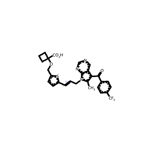 Cc1c(C(=O)c2ccc(C(F)(F)F)cc2)c2cncnc2n1C/C=C/c1ccc(COC2(C(=O)O)CCC2)s1